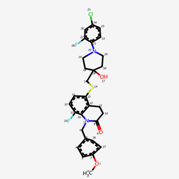 COc1ccc(CN2C(=O)CCc3c(SCC4(O)CCN(c5ccc(Cl)cc5F)CC4)ccc(F)c32)cc1